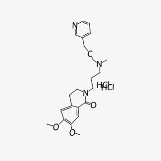 COc1cc2c(cc1OC)C(=O)N(CCCN(C)CCCc1cccnc1)CC2.Cl.Cl